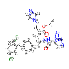 CCOC(=O)[C@H](CCn1ccnc1)C[C@@H](Cc1ccc(-c2cc(Cl)ccc2F)cc1)NC(=O)c1cnn[nH]1